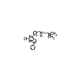 CN(C)CCCNCc1ccc(-c2nc(Cl)nc3c2ccn3-c2ccccc2)s1